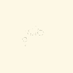 O=C(NC(c1ccccn1)C(F)(F)F)c1cc(Br)cs1